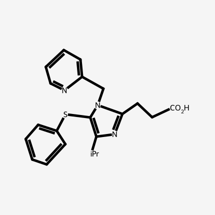 CC(C)c1nc(CCC(=O)O)n(Cc2ccccn2)c1Sc1ccccc1